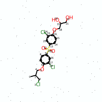 CC(CCl)COc1ccc(S(=O)(=O)c2ccc(OCC(O)CO)c(Cl)c2)cc1Cl